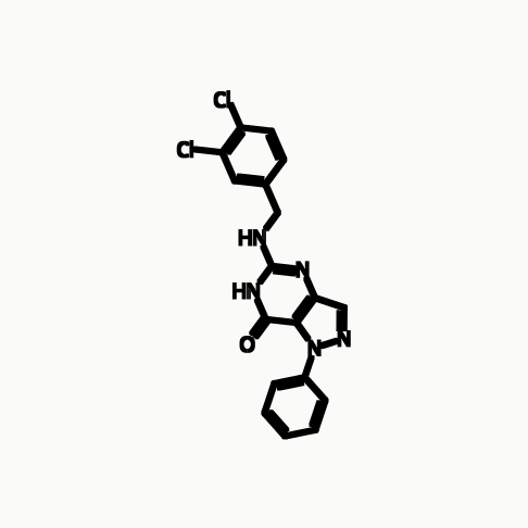 O=c1[nH]c(NCc2ccc(Cl)c(Cl)c2)nc2cnn(-c3ccccc3)c12